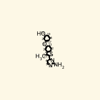 Cc1c(-c2ccnc(N)n2)sc2ccc(Oc3cccc(O)c3)cc12